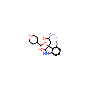 NC(=O)CC1(OC(=O)C2CCOCC2)C(=O)Nc2cccc(Cl)c21